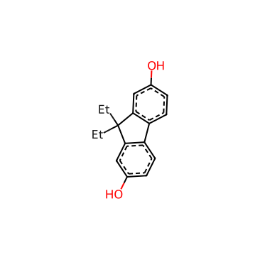 CCC1(CC)c2cc(O)ccc2-c2ccc(O)cc21